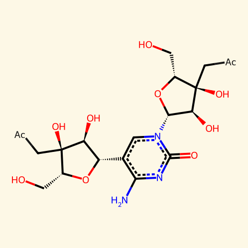 CC(=O)C[C@@]1(O)[C@@H](CO)O[C@@H](n2cc([C@@H]3O[C@H](CO)[C@](O)(CC(C)=O)[C@H]3O)c(N)nc2=O)[C@@H]1O